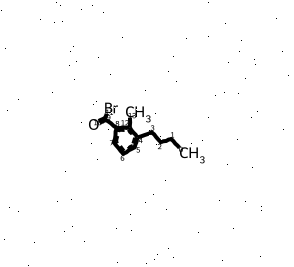 CCCCc1cccc(C(=O)Br)c1C